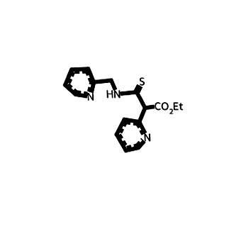 CCOC(=O)C(C(=S)NCc1ccccn1)c1ccccn1